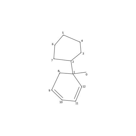 CC1(C2CCCCC2)[CH]C=CC=C1